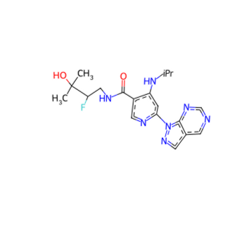 CC(C)Nc1cc(-n2ncc3cncnc32)ncc1C(=O)NCC(F)C(C)(C)O